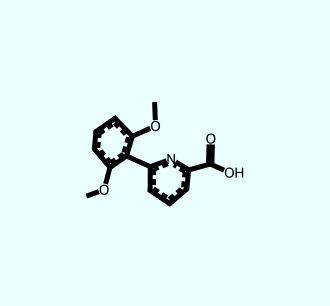 COc1cccc(OC)c1-c1cccc(C(=O)O)n1